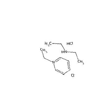 CCNCC.CC[n+]1ccccc1.Cl.[Cl-]